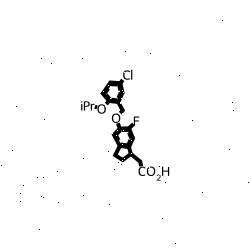 CC(C)Oc1ccc(Cl)cc1COc1cc2c(cc1F)C(CC(=O)O)CC2